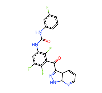 O=C(Nc1cccc(F)c1)Nc1cc(F)c(F)c(C(=O)C2=NNC3N=CC=CC23)c1F